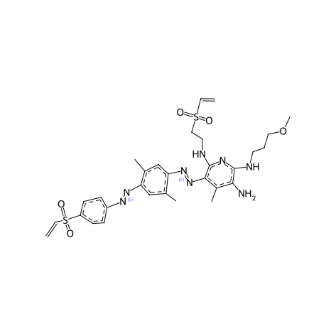 C=CS(=O)(=O)CCNc1nc(NCCCOC)c(N)c(C)c1/N=N/c1cc(C)c(/N=N/c2ccc(S(=O)(=O)C=C)cc2)cc1C